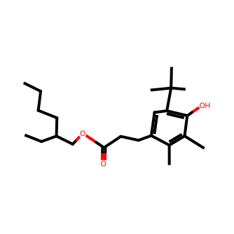 CCCCC(CC)COC(=O)CCc1cc(C(C)(C)C)c(O)c(C)c1C